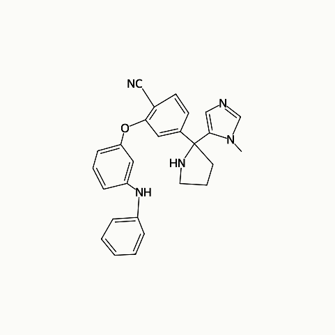 Cn1cncc1C1(c2ccc(C#N)c(Oc3cccc(Nc4ccccc4)c3)c2)CCCN1